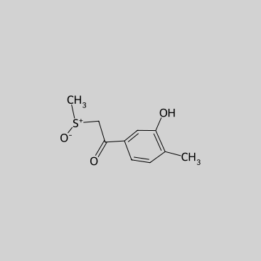 Cc1ccc(C(=O)C[S+](C)[O-])cc1O